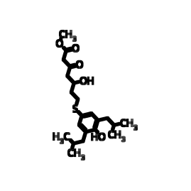 COC(=O)CC(=O)CC(O)CCSc1cc(CC(C)C)c(O)c(CC(C)C)c1